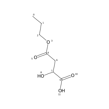 CCCOC(=O)CC(O)C(=O)O